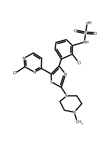 CCCS(=O)(=O)Nc1cccc(-c2nc(N3CCN(C)CC3)sc2-c2ccnc(Cl)n2)c1Cl